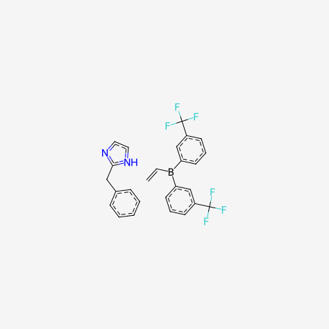 C=CB(c1cccc(C(F)(F)F)c1)c1cccc(C(F)(F)F)c1.c1ccc(Cc2ncc[nH]2)cc1